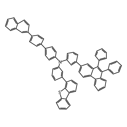 c1ccc(-c2c(-c3ccccc3)c3cc(-c4cccc(N(c5ccc(-c6ccc(-c7ccc8ccccc8c7)cc6)cc5)c5cccc(-c6cccc7c6sc6ccccc67)c5)c4)ccc3c3ccccc23)cc1